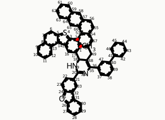 Cc1cc2sc3ccc4ccccc4c3c2cc1C1NC(c2ccc3oc4ccccc4c3c2)=NC(c2cccc(-c3ccccc3)c2)=C1Cc1ccc2c(ccc3cc4ccccc4cc32)c1